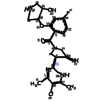 CC1=N/C(=C2\CN(C(=O)c3ccc(F)cc3O[C@H]3CNCC3O)CC2=N)NC(C)=C1Cl